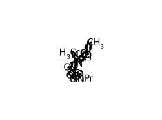 CC[C@@]1(OC(=O)NC(C)C)C(=O)OCc2c1cc1n(c2=O)Cc2c-1nc1cc(F)c(OC(=O)N3CCN(C)CC3)cc1c2CN(C)C